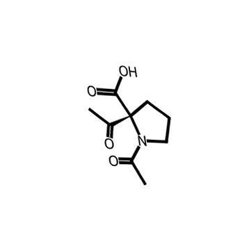 CC(=O)N1CCC[C@@]1(C(C)=O)C(=O)O